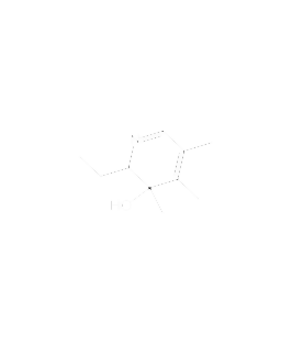 CCC1N=CC(C)=C(C)C1(C)O